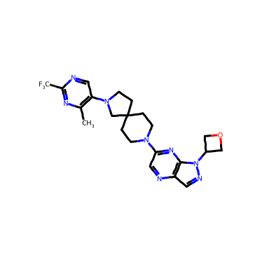 Cc1nc(C(F)(F)F)ncc1N1CCC2(CCN(c3cnc4cnn(C5COC5)c4n3)CC2)C1